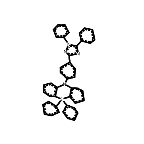 c1ccc(-c2nc(-c3ccc(N4c5ccccc5[Si](c5ccccc5)(c5ccccc5)c5ccccc54)cc3)nn2-c2ccccc2)cc1